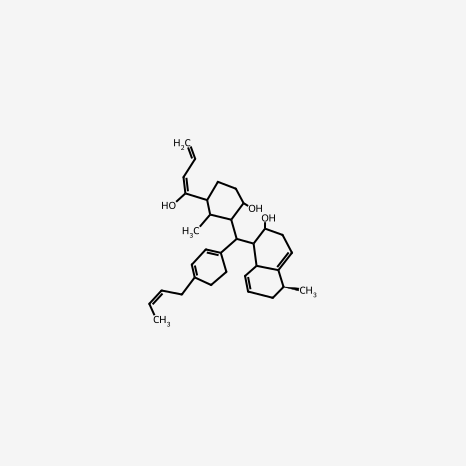 C=C/C=C(/O)C1CCC(O)C(C(C2=CC=C(C/C=C\C)CC2)C2C(O)CC=C3C2C=CC[C@@H]3C)C1C